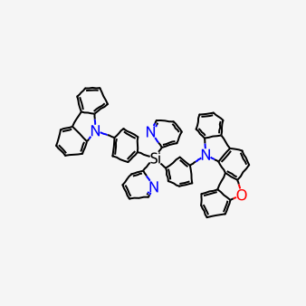 c1ccc([Si](c2ccc(-n3c4ccccc4c4ccccc43)cc2)(c2cccc(-n3c4ccccc4c4ccc5oc6ccccc6c5c43)c2)c2ccccn2)nc1